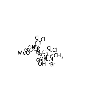 COP(=O)(Cc1nc2cc(Cl)c(Cl)cc2nc1CBr)OC.Cc1c(Cl)c(Cl)c(C)c2nc(CP(=O)(O)O)c(CBr)nc12